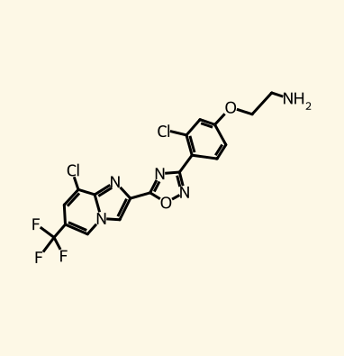 NCCOc1ccc(-c2noc(-c3cn4cc(C(F)(F)F)cc(Cl)c4n3)n2)c(Cl)c1